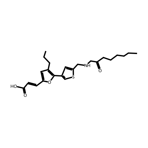 CCCCCCC(=O)CNCc1cc(-c2oc(C=CC(=O)O)cc2CCC)cs1